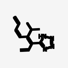 C=C/C=C\C(=C(/C=C)c1nnn[nH]1)C(C)C